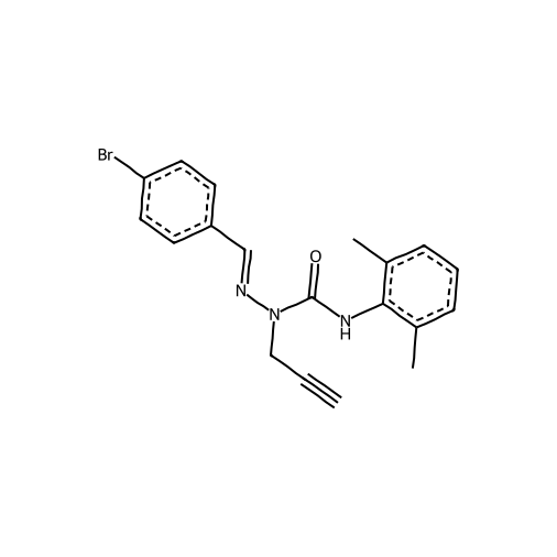 C#CCN(N=Cc1ccc(Br)cc1)C(=O)Nc1c(C)cccc1C